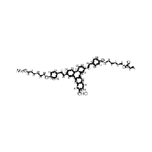 C=CC(=O)OCCCCCCOc1ccc(/C=C/c2ccc3c4ccc(/C=C/c5ccc(OCCCCCCOC)cc5)cc4c4nc5cc(C=O)ccc5nc4c3c2)cc1